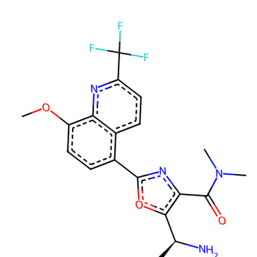 COc1ccc(-c2nc(C(=O)N(C)C)c([C@H](C)N)o2)c2ccc(C(F)(F)F)nc12